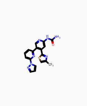 NC(=O)Nc1cc(-c2nc(C(F)(F)F)cs2)c(-c2cccc(-n3cccn3)n2)cn1